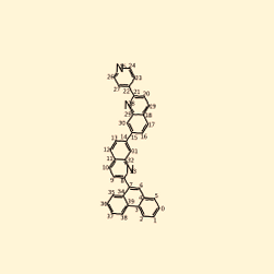 c1ccc2c(c1)cc(-c1ccc3ccc(-c4ccc5ccc(-c6ccncc6)nc5c4)cc3n1)c1ccccc12